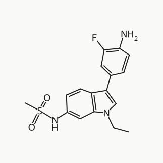 CCn1cc(-c2ccc(N)c(F)c2)c2ccc(NS(C)(=O)=O)cc21